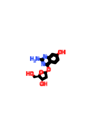 Nc1nc(O[C@H]2C[C@H](O)[C@@H](CO)O2)c2ccc(O)cc2n1